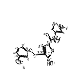 Cl.Cl.O=C(Nc1cn[nH]c1)c1cc(COc2cccc(C(F)(F)F)c2)ccn1